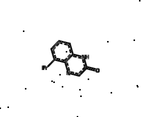 CC(C)c1cccc2[nH]c(=O)cnc12